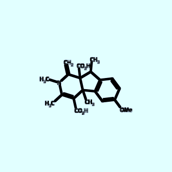 C=C1N(C)C(C)=C(C(=O)O)C2(C)c3cc(OC)ccc3C(C)C12C(=O)O